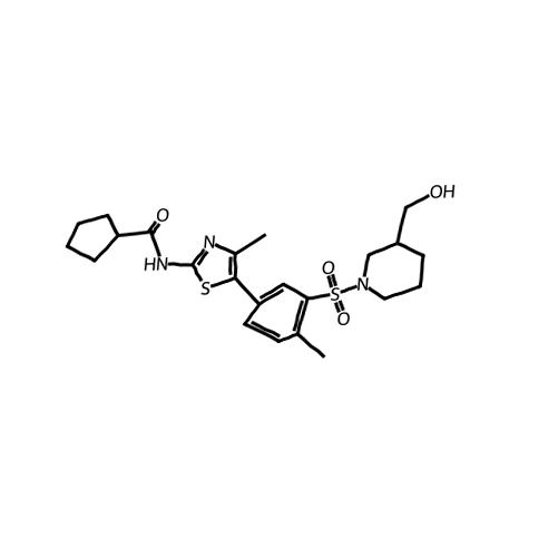 Cc1ccc(-c2sc(NC(=O)C3CCCC3)nc2C)cc1S(=O)(=O)N1CCCC(CO)C1